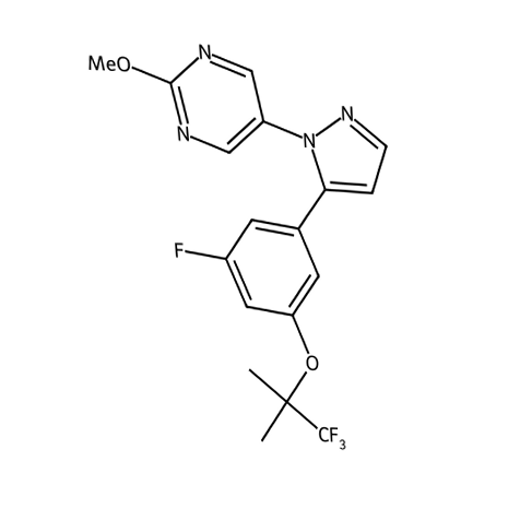 COc1ncc(-n2nccc2-c2cc(F)cc(OC(C)(C)C(F)(F)F)c2)cn1